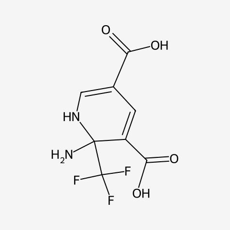 NC1(C(F)(F)F)NC=C(C(=O)O)C=C1C(=O)O